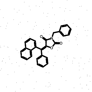 O=C1O/C(=C(\c2ccccc2)c2cccc3ccccc23)C(=O)N1Cc1ccccc1